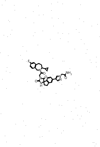 NC(=O)Cn1cc(-c2ccc3c(c2)CCC32NC(=O)N(CC(=O)N3Cc4ccc(F)cc4CCC3C3CC3)C2=O)cn1